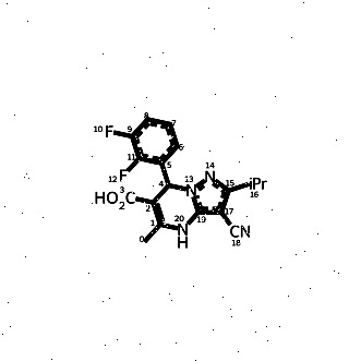 CC1=C(C(=O)O)C(c2cccc(F)c2F)n2nc(C(C)C)c(C#N)c2N1